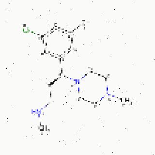 CNCC[C@@H](c1cc(C)cc(Cl)c1)N1CCN(C)CC1